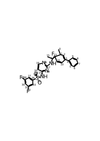 CC1C=C(c2ccccc2)C=CC1(F)C(C)Nc1nccc(NS(=O)(=O)c2cc(F)cc(F)c2)n1